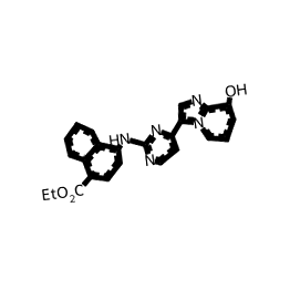 CCOC(=O)c1ccc(Nc2nccc(-c3cnc4c(O)cccn34)n2)c2ccccc12